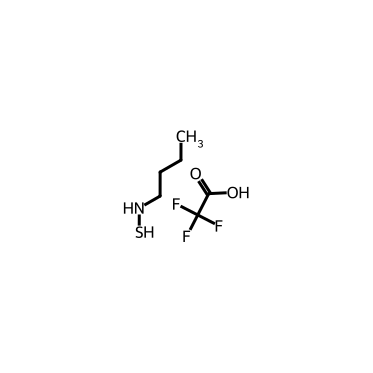 CCCCNS.O=C(O)C(F)(F)F